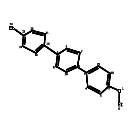 CCOc1ccc(-c2ccc(-c3ccc(CC)cc3)cc2)cc1